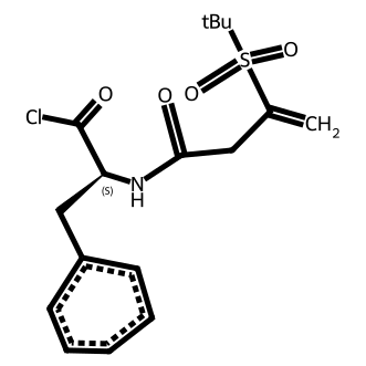 C=C(CC(=O)N[C@@H](Cc1ccccc1)C(=O)Cl)S(=O)(=O)C(C)(C)C